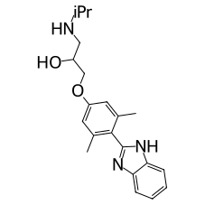 Cc1cc(OCC(O)CNC(C)C)cc(C)c1-c1nc2ccccc2[nH]1